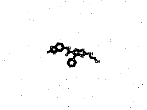 Cc1nc2cc(NC(=O)c3sc4nc(NCCO)sc4c3-c3ccccc3)ccc2o1